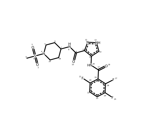 CS(=O)(=O)N1CCC(NC(=O)c2n[nH]cc2NC(=O)c2c(F)ccc(F)c2F)CC1